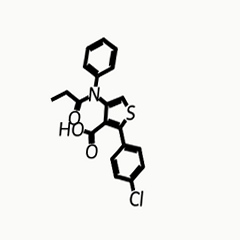 CCC(=O)N(c1ccccc1)c1csc(-c2ccc(Cl)cc2)c1C(=O)O